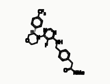 CNC(=O)Cc1ccc(CNc2ncnc(N3CCOC[C@@H]3c3ccc(C(F)(F)F)cc3)c2F)cc1